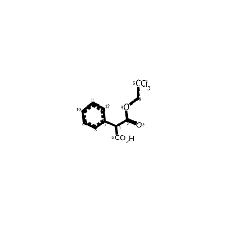 O=C(O)C(C(=O)OCC(Cl)(Cl)Cl)c1ccccc1